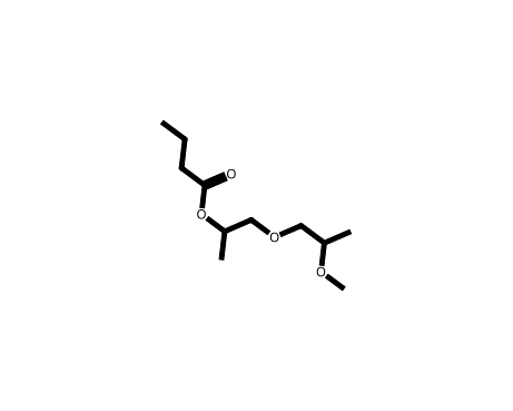 CCCC(=O)OC(C)COCC(C)OC